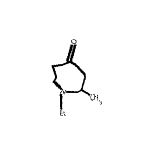 CCN1CCC(=O)CC1C